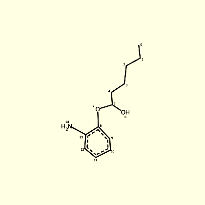 CCCCCC(O)Oc1ccccc1N